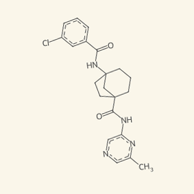 Cc1cncc(NC(=O)C23CCCC(NC(=O)c4cccc(Cl)c4)(CC2)C3)n1